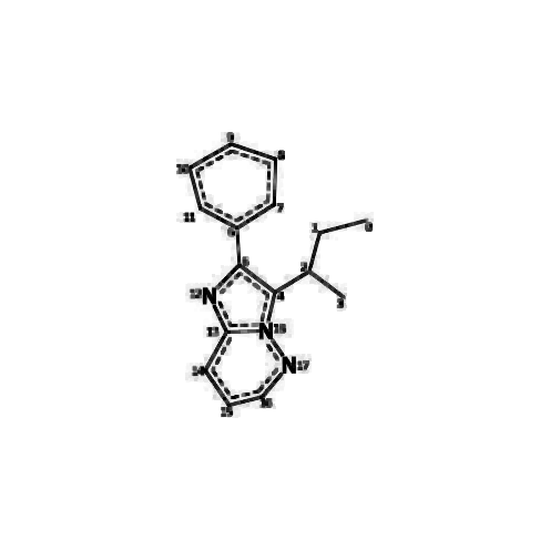 CCC(C)c1c(-c2ccccc2)nc2cccnn12